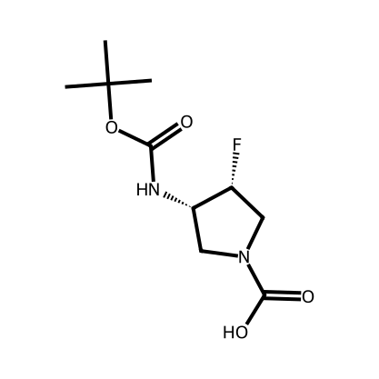 CC(C)(C)OC(=O)N[C@H]1CN(C(=O)O)C[C@H]1F